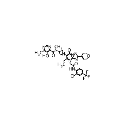 CCc1c(N2CC(N(C)C(=O)c3ncnc(C)c3O)C2)c(=O)n2nc(C3=CCOCC3)nc2n1CC(=O)Nc1ccc(C(F)(F)F)cc1Cl